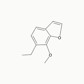 CCc1ccc2ccoc2c1OC